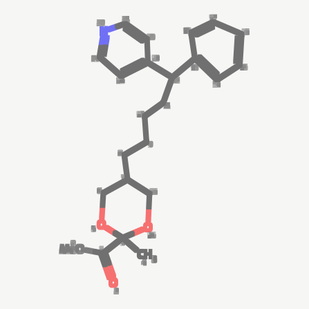 COC(=O)C1(C)OCC(CCCCC(c2ccccc2)c2ccncc2)CO1